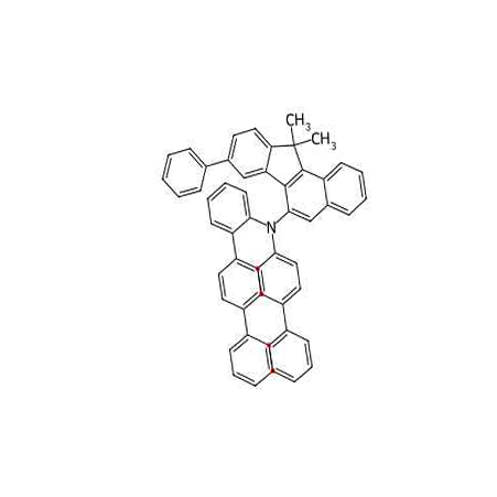 CC1(C)c2ccc(-c3ccccc3)cc2-c2c(N(c3ccc(-c4ccccc4)cc3)c3ccccc3-c3ccc(-c4ccccc4)cc3)cc3ccccc3c21